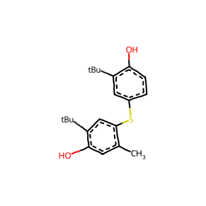 Cc1cc(O)c(C(C)(C)C)cc1Sc1ccc(O)c(C(C)(C)C)c1